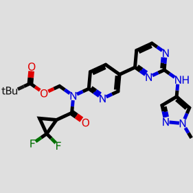 Cn1cc(Nc2nccc(-c3ccc(N(COC(=O)C(C)(C)C)C(=O)C4CC4(F)F)nc3)n2)cn1